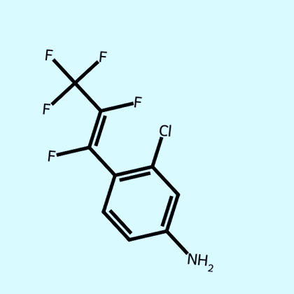 Nc1ccc(C(F)=C(F)C(F)(F)F)c(Cl)c1